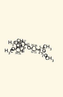 COCCC[C@H](CC(C)=O)c1ccc(OCc2ccc(C(C)(C)C)c(-c3cc(OC)ccc3F)c2)cc1